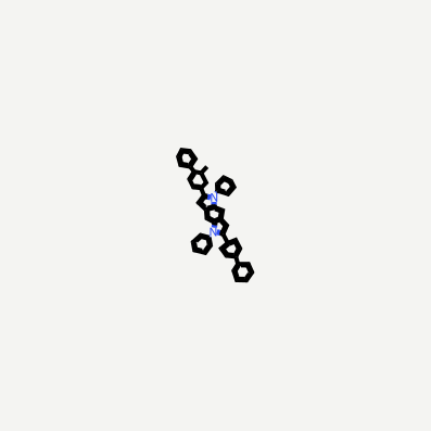 CC1CC(c2cc3cc4c(cc(-c5ccc(-c6ccccc6)cc5)n4-c4ccccc4)cc3n2-c2ccccc2)=CC=C1c1ccccc1